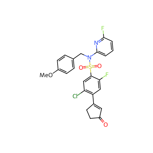 COc1ccc(CN(c2cccc(F)n2)S(=O)(=O)c2cc(Cl)c(C3=CC(=O)CC3)cc2F)cc1